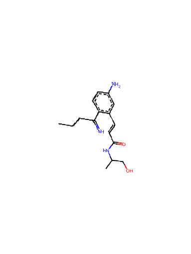 CCCC(=N)c1ccc(N)cc1C=CC(=O)NC(C)CO